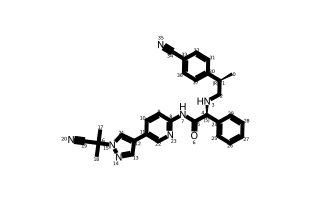 C[C@@H](CN[C@H](C(=O)Nc1ccc(-c2cnn(C(C)(C)C#N)c2)cn1)c1ccccc1)c1ccc(C#N)cc1